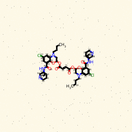 CCCCN1CC(OC(=O)/C=C/C(=O)OC2CN(CCCC)c3cc(Cl)cc(C(=O)NC4CN5CCC4CC5)c3O2)Oc2c(C(=O)NC3CN4CCC3CC4)cc(Cl)cc21